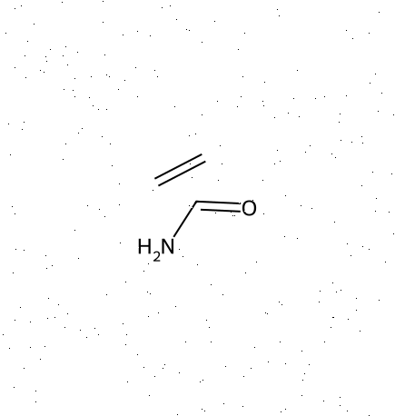 C=C.NC=O